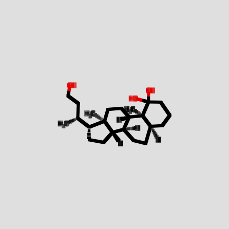 C[C@H](CCO)[C@H]1CC[C@H]2[C@@H]3CC[C@@H]4CCCC(O)(O)[C@]4(C)[C@H]3CC[C@]12C